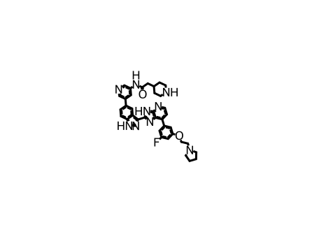 O=C(CC1CCNCC1)Nc1cncc(-c2ccc3[nH]nc(-c4nc5c(-c6cc(F)cc(OCCN7CCCC7)c6)ccnc5[nH]4)c3c2)c1